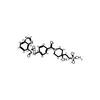 CS(=O)(=O)CCC1(O)CCN(C(=O)c2ccc(NS(=O)(=O)c3cccc4scnc34)cc2)CC1